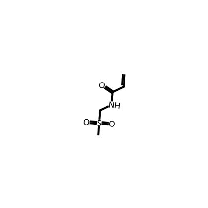 C=CC(=O)NCS(C)(=O)=O